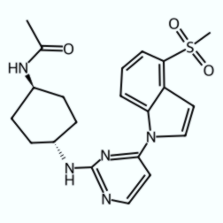 CC(=O)N[C@H]1CC[C@H](Nc2nccc(-n3ccc4c(S(C)(=O)=O)cccc43)n2)CC1